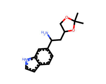 CC1(C)OCC(CC(N)c2ccc3[c]c[nH]c3c2)O1